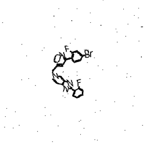 Fc1cc(Br)ccc1-c1cc(Cn2ccc3nc(-c4ccccc4F)nc-3c2)on1